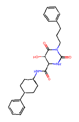 O=C(NC1CCC(c2ccccc2)CC1)C1NC(=O)N(CCCc2ccccc2)C(=O)C1O